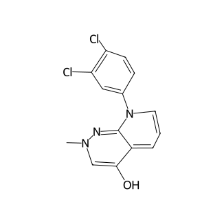 CN1C=C(O)C2=CC=CN(c3ccc(Cl)c(Cl)c3)C2=N1